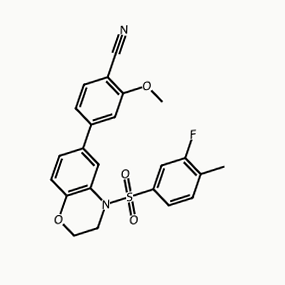 COc1cc(-c2ccc3c(c2)N(S(=O)(=O)c2ccc(C)c(F)c2)CCO3)ccc1C#N